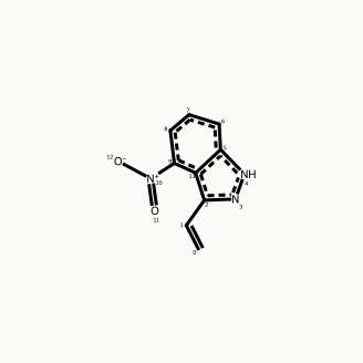 C=Cc1n[nH]c2cccc([N+](=O)[O-])c12